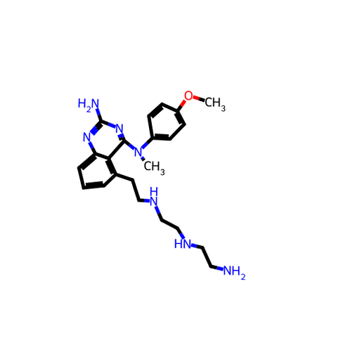 COc1ccc(N(C)c2nc(N)nc3cccc(CCNCCNCCN)c23)cc1